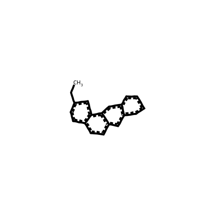 CCc1ccc2ccc3cc4ccccc4cc3c2c1